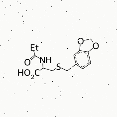 CCC(=O)NC(CSCc1ccc2c(c1)OCO2)C(=O)O